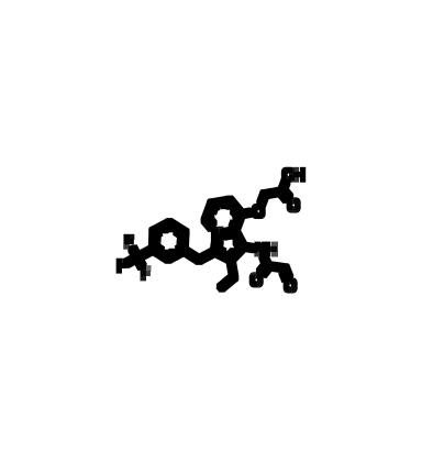 CCc1c(NC(=O)C=O)c2c(OCC(=O)O)cccn2c1Cc1cccc(C(F)(F)F)c1